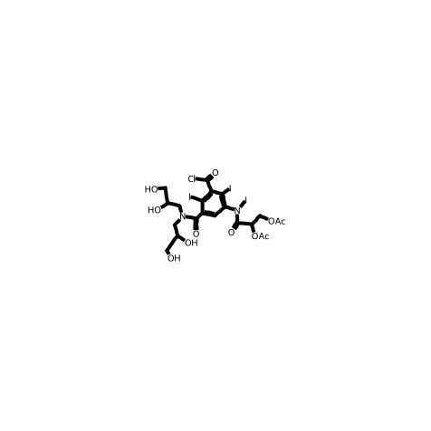 CC(=O)OCC(OC(C)=O)C(=O)N(I)c1cc(C(=O)N(CC(O)CO)CC(O)CO)c(I)c(C(=O)Cl)c1I